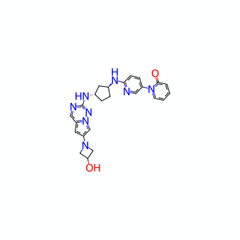 O=c1ccccn1-c1ccc(N[C@H]2CC[C@H](Nc3ncc4cc(N5CC(O)C5)cn4n3)C2)nc1